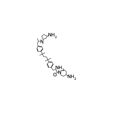 CC(Cc1ccc(C(C)(C)CCC(C)(C)c2ccc(C[C@H](N)C(=O)N3CCCC(N)CC3)cc2)cc1)N(C)[C@H]1CC[C@@H](N)C1